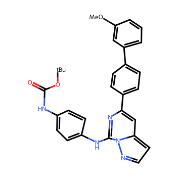 COc1cccc(-c2ccc(-c3cc4ccnn4c(Nc4ccc(NC(=O)OC(C)(C)C)cc4)n3)cc2)c1